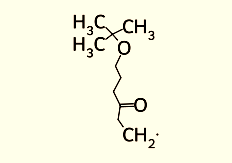 [CH2]CC(=O)CCCOC(C)(C)C